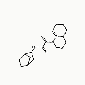 O=C(NC1CC2CCC1C2)C(=O)N1CCCC2CCCC=C21